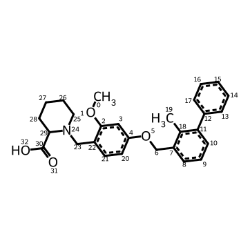 COc1cc(OCc2cccc(-c3ccccc3)c2C)ccc1CN1CCCCC1C(=O)O